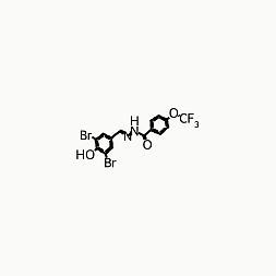 O=C(N/N=C/c1cc(Br)c(O)c(Br)c1)c1ccc(OC(F)(F)F)cc1